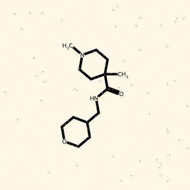 CN1CCC(C)(C(=O)NCC2CCOCC2)CC1